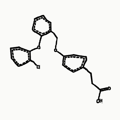 O=C(O)CCc1ccc(OCc2ccccc2Oc2ccccc2Cl)cc1